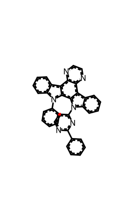 c1ccc(-c2nccc(-n3c4ccccc4c4c5nccnc5c5c6ccccc6n(-c6ccccc6)c5c43)n2)cc1